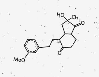 COc1cccc(CC[C@@H]2C(=O)CCC3C(=O)C(C)(O)CC32)c1